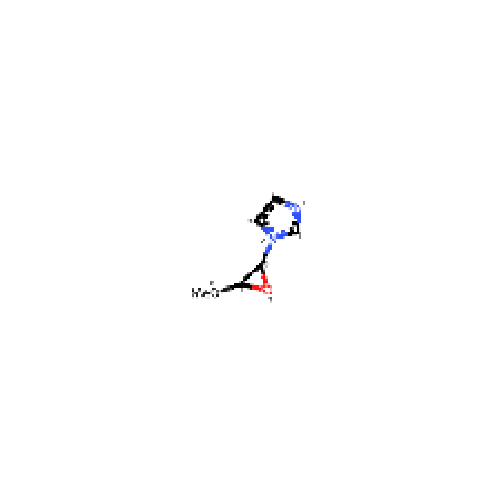 COC1OC1n1ccnc1